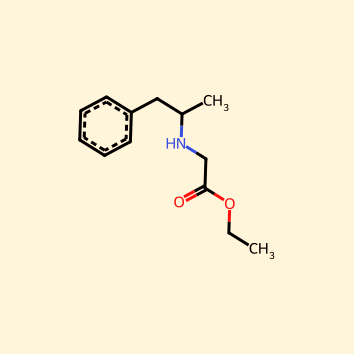 CCOC(=O)CNC(C)Cc1ccccc1